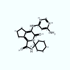 Nc1cc(Nc2c3c(c4n(c2=O)C2(CCCCC2)NC4=O)CCC3)ncn1